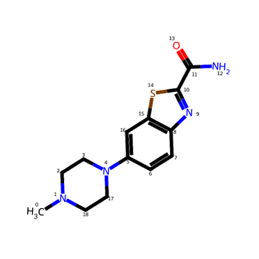 CN1CCN(c2ccc3nc(C(N)=O)sc3c2)CC1